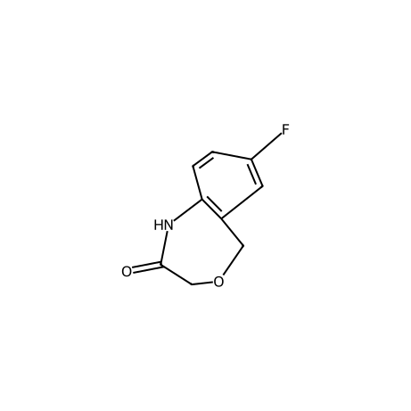 O=C1COCc2cc(F)ccc2N1